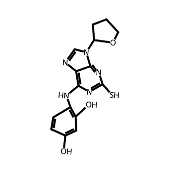 Oc1ccc(Nc2nc(S)nc3c2ncn3C2CCCO2)c(O)c1